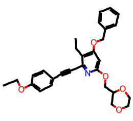 CCOc1ccc(C#Cc2nc(OCC3COCCO3)cc(OCc3ccccc3)c2CC)cc1